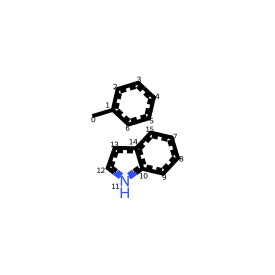 Cc1ccccc1.c1ccc2[nH]ccc2c1